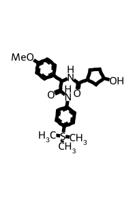 COc1ccc(C(NC(=O)C2CCC(O)C2)C(=O)Nc2ccc(S(C)(C)C)cc2)cc1